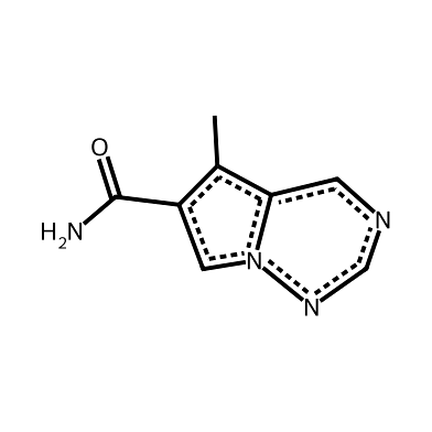 Cc1c(C(N)=O)cn2ncncc12